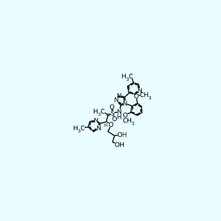 COc1cccc(OC)c1-n1c(NS(=O)(=O)[C@H](C)[C@@H](OCC(O)CO)c2ncc(C)cn2)nnc1-c1cncc(C)c1